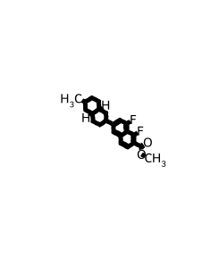 COC(=O)c1ccc2cc(C3CC[C@H]4CC(C)CC[C@@H]4C3)cc(F)c2c1F